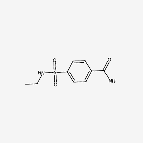 CCNS(=O)(=O)c1ccc(C([NH])=O)cc1